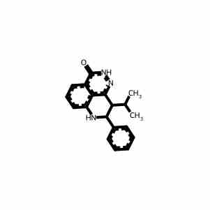 CC(C)C1c2n[nH]c(=O)c3cccc(c23)NC1c1ccccc1